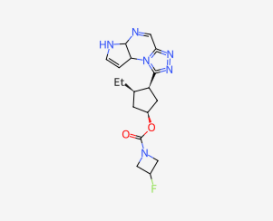 CC[C@@H]1C[C@H](OC(=O)N2CC(F)C2)C[C@@H]1c1nnc2n1C1C=CNC1N=C2